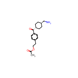 CC(=O)OCCc1ccc(C(=O)[C@H]2CC[C@H](CN)CC2)cc1